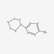 Clc1ccc(C2C[CH]CCC2)cc1